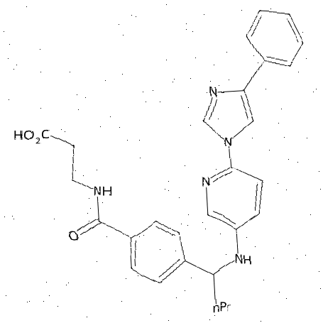 CCCC(Nc1ccc(-n2cnc(-c3ccccc3)c2)nc1)c1ccc(C(=O)NCCC(=O)O)cc1